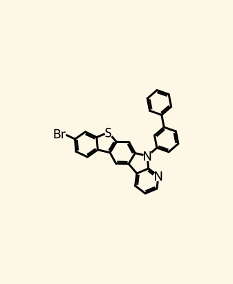 Brc1ccc2c(c1)sc1cc3c(cc12)c1cccnc1n3-c1cccc(-c2ccccc2)c1